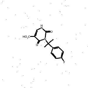 CC(C)(c1ccc(F)cc1)n1c(=O)[nH]cc(C(=O)O)c1=O